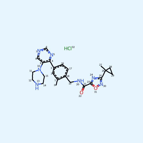 Cc1cc(-c2ncncc2N2CCNCC2)ccc1CNC(=O)c1nc(C2(C)CC2)no1.Cl